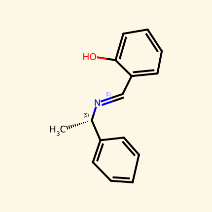 C[C@H](/N=C/c1ccccc1O)c1ccccc1